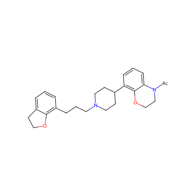 CC(=O)N1CCOc2c(C3CCN(CCCc4cccc5c4OCC5)CC3)cccc21